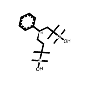 CC(C)(CC[C@H](CC(C)(C)[Si](C)(C)O)c1ccccc1)[Si](C)(C)O